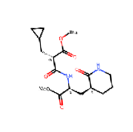 COC(=O)[C@H](C[C@@H]1CCCNC1=O)NC(=O)[C@H](CC1CC1)C(=O)OC(C)(C)C